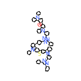 c1ccc(-c2cc(-c3ccccc3)nc(-c3cccc(-n4c5ccccc5c5cc6c(cc54)sc4cc5c(cc46)c4c(-c6ccc(-c7nc(-c8ccccc8)nc(-c8cccc(-n9c%10ccccc%10c%10c%11oc%12c(ccc%13c%12c%12ccccc%12n%13-c%12ccccc%12)c%11ccc%109)c8)n7)cc6)cccc4n5-c4ccccc4)c3)n2)cc1